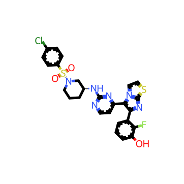 O=S(=O)(c1ccc(Cl)cc1)N1CCC[C@@H](Nc2nccc(-c3c(-c4cccc(O)c4F)nc4sccn34)n2)C1